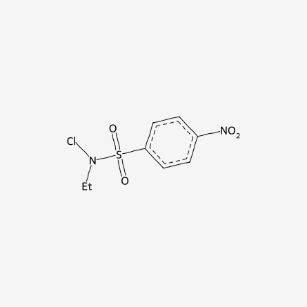 CCN(Cl)S(=O)(=O)c1ccc([N+](=O)[O-])cc1